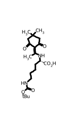 CC(N[C@@H](CCCCNC(=O)OC(C)(C)C)C(=O)O)=C1C(=O)CC(C)(C)CC1=O